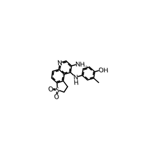 Cc1cc(Nc2c(N)cnc3ccc4c(c23)CCS4(=O)=O)ccc1O